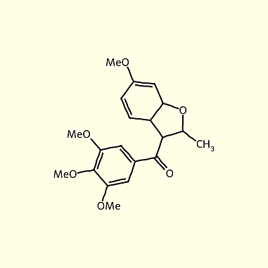 COC1=CC2OC(C)C(C(=O)c3cc(OC)c(OC)c(OC)c3)C2C=C1